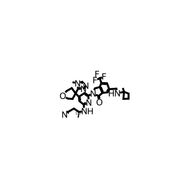 C[C@@H](CC#N)Nc1cc(C2(c3nncn3C)CCOCC2)cc(N2Cc3c(cc(CNC4(C)CCC4)cc3C(F)(F)F)C2=O)n1